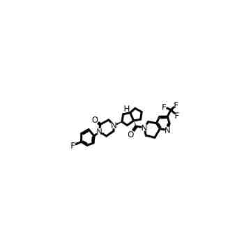 O=C1CN([C@H]2C[C@H]3CCC[C@@]3(C(=O)N3CCc4ncc(C(F)(F)F)cc4C3)C2)CCN1c1ccc(F)cc1